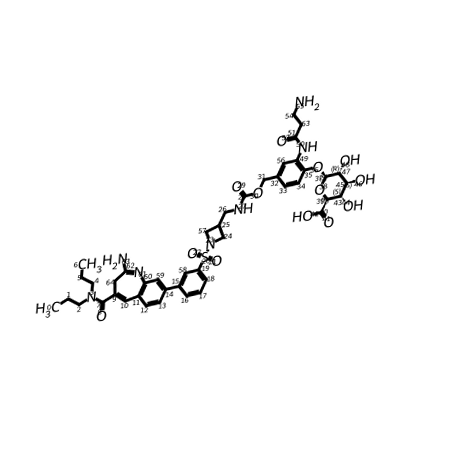 CCCN(CCC)C(=O)C1=Cc2ccc(-c3cccc(S(=O)(=O)N4CC(CNC(=O)OCc5ccc(O[C@@H]6O[C@H](C(=O)O)[C@@H](O)[C@H](O)[C@H]6O)c(NC(=O)CCN)c5)C4)c3)cc2N=C(N)C1